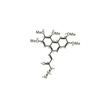 COc1cc2cc(/C=C/C(=O)N=[N+]=[N-])c3cc(OC)c(OC)c(OC)c3c2cc1OC